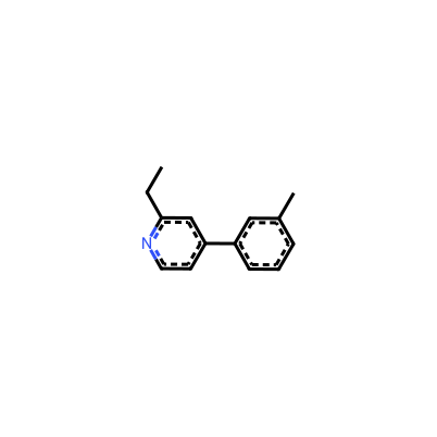 CCc1cc(-c2cccc(C)c2)ccn1